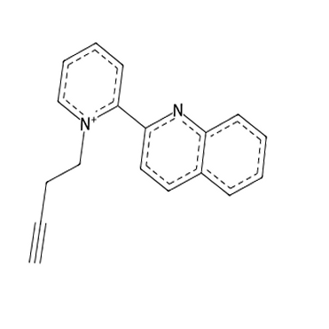 C#CCC[n+]1ccccc1-c1ccc2ccccc2n1